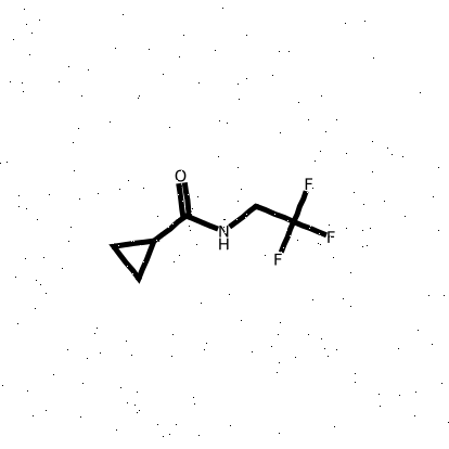 O=C(NCC(F)(F)F)[C]1CC1